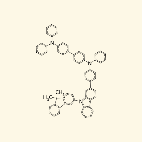 CC1(C)c2ccccc2-c2cc(-n3c4ccccc4c4ccc(-c5ccc(N(c6ccccc6)c6ccc(-c7ccc(N(c8ccccc8)c8ccccc8)cc7)cc6)cc5)cc43)ccc21